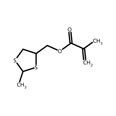 C=C(C)C(=O)OCC1CSC(C)S1